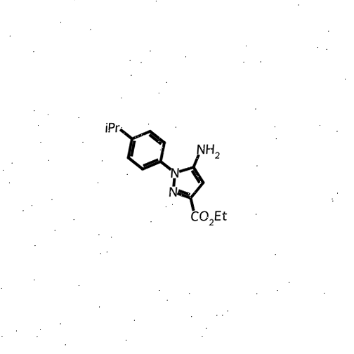 CCOC(=O)c1cc(N)n(-c2ccc(C(C)C)cc2)n1